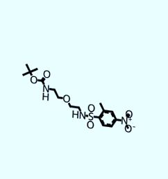 Cc1cc([N+](=O)[O-])ccc1S(=O)(=O)NCCOCCNC(=O)OC(C)(C)C